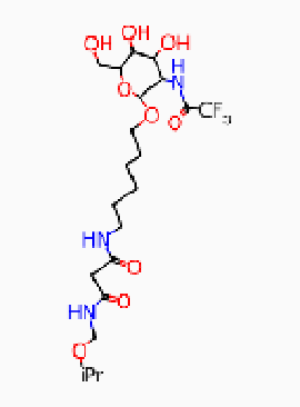 CC(C)OCNC(=O)CC(=O)NCCCCCCOC1OC(CO)C(O)C(O)C1NC(=O)C(F)(F)F